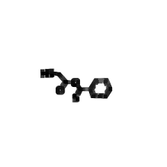 O=C(CS)OC(=S)c1ccccc1